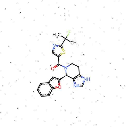 CC(C)(F)c1ncc(C(=O)N2CCc3[nH]cnc3[C@H]2c2cc3ccccc3o2)s1